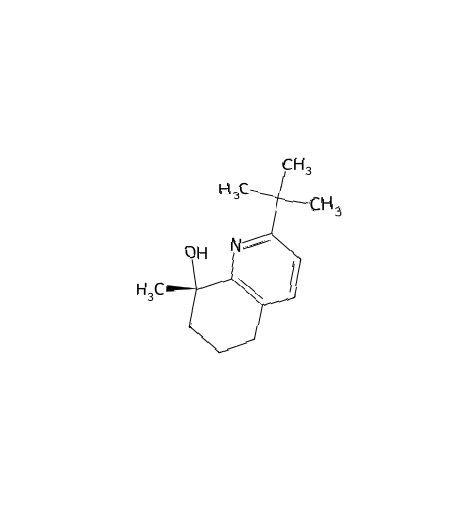 CC(C)(C)c1ccc2c(n1)[C@@](C)(O)CCC2